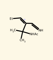 CC/C=C(/C=N)C(C)(C)NC(C)=O